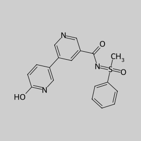 CS(=O)(=NC(=O)c1cncc(-c2ccc(O)nc2)c1)c1ccccc1